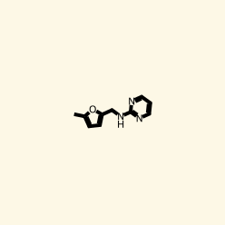 Cc1ccc(CNc2ncccn2)o1